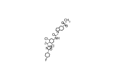 CCS(=O)(=O)c1ccc2c(ccn2CC(=O)Nc2cc(Cl)c(C3(c4noc(-c5ccc(F)cc5)n4)CC3)c(Cl)c2)c1